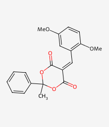 COc1ccc(OC)c(C=C2C(=O)OC(C)(c3ccccc3)OC2=O)c1